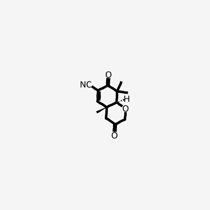 CC1(C)C(=O)C(C#N)=C[C@@]2(C)CC(=O)CO[C@H]12